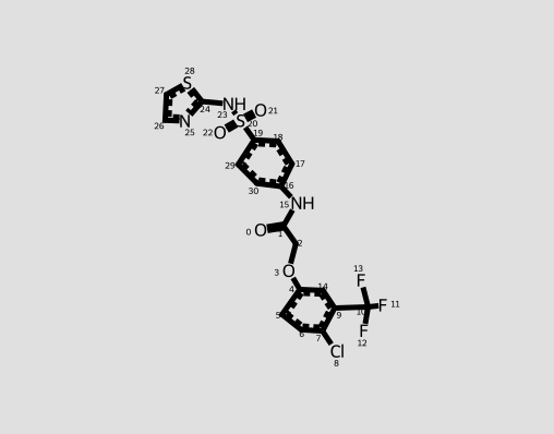 O=C(COc1ccc(Cl)c(C(F)(F)F)c1)Nc1ccc(S(=O)(=O)Nc2nccs2)cc1